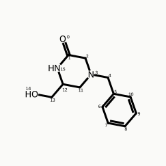 O=C1CN(Cc2ccccc2)CC(CO)N1